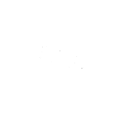 CCN(C[C@@H](COC(=O)[C@H](N)C(C)C)OC(C)C)S(C)(=O)=O